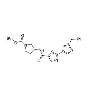 CC(C)Cn1cc(-c2ncc(C(=O)NC3CCN(C(=O)OC(C)(C)C)C3)s2)cn1